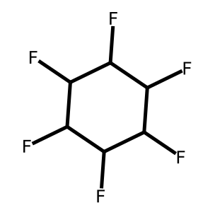 FC1C(F)C(F)C(F)C(F)C1F